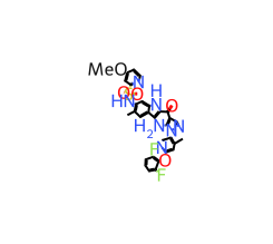 COc1ccnc(S(=O)(=O)Nc2cc3[nH]c(C(=O)c4cnn(-c5cnc(Oc6c(F)cccc6F)cc5C)c4N)cc3cc2C)c1